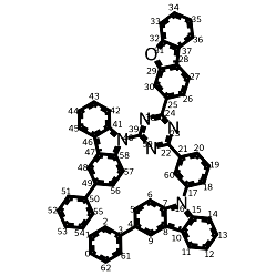 c1ccc(-c2ccc3c(c2)c2ccccc2n3-c2cccc(-c3nc(-c4ccc5c(c4)oc4ccccc45)nc(-n4c5ccccc5c5cc(-c6ccccc6)ccc54)n3)c2)cc1